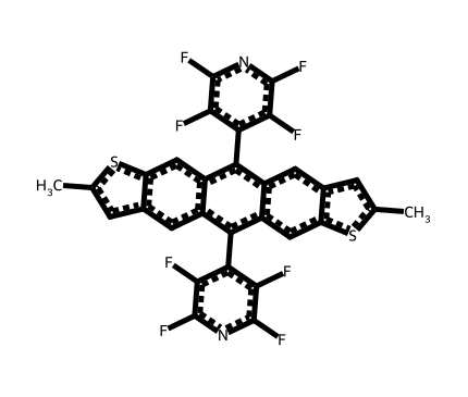 Cc1cc2cc3c(-c4c(F)c(F)nc(F)c4F)c4cc5sc(C)cc5cc4c(-c4c(F)c(F)nc(F)c4F)c3cc2s1